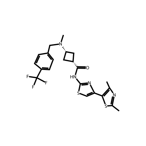 Cc1nc(C)c(-c2csc(NC(=O)[C@H]3C[C@@H](N(C)Cc4ccc(C(F)(F)F)cc4)C3)n2)s1